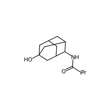 CC(C)C(=O)NC1C2CC3CC1CC(O)(C3)C2